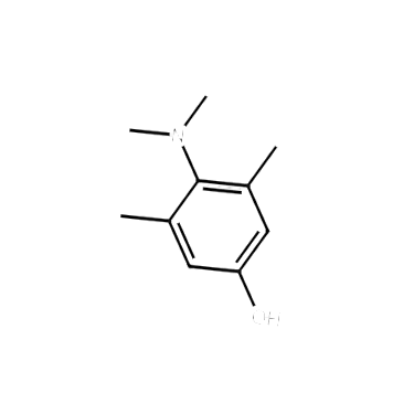 Cc1cc(O)cc(C)c1N(C)C